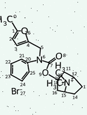 Cc1ccc(CN(C(=O)OC2CC3CCC(C2)[N+]3(C)C)c2ccccc2)o1.[Br-]